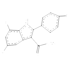 COC(=O)c1c(-c2ccc(F)cc2)[nH]c2c(F)cc(F)cc12